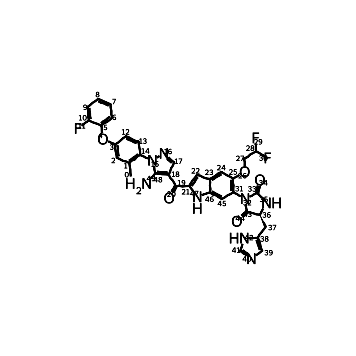 Cc1cc(Oc2ccccc2F)ccc1-n1ncc(C(=O)c2cc3cc(OCC(F)F)c(N4C(=O)N[C@@H](Cc5cnc[nH]5)C4=O)cc3[nH]2)c1N